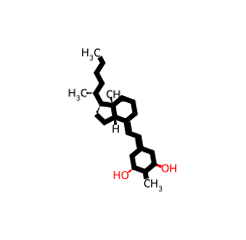 CCCC[C@@H](C)[C@H]1CC[C@H]2/C(=C/C=C3C[C@@H](O)C(C)[C@H](O)C3)CCC[C@]12C